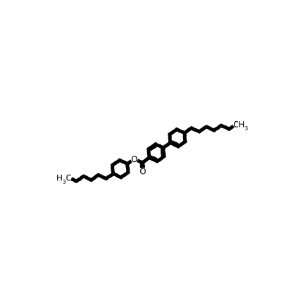 CCCCCCCC1CC=C(c2ccc(C(=O)OC3CCC(CCCCCC)CC3)cc2)CC1